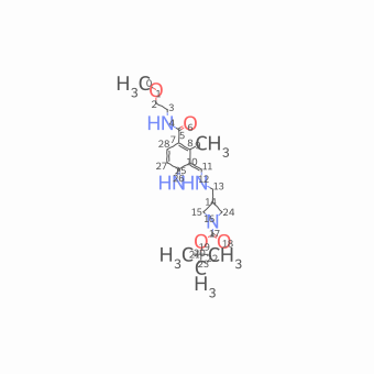 COCCNC(=O)C1=C(C)/C(=C/NCC2CN(C(=O)OC(C)(C)C)C2)C(=N)C=C1